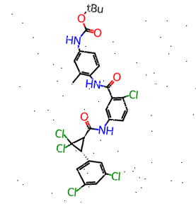 Cc1cc(NC(=O)OC(C)(C)C)ccc1NC(=O)c1cc(NC(=O)[C@H]2[C@H](c3cc(Cl)cc(Cl)c3)C2(Cl)Cl)ccc1Cl